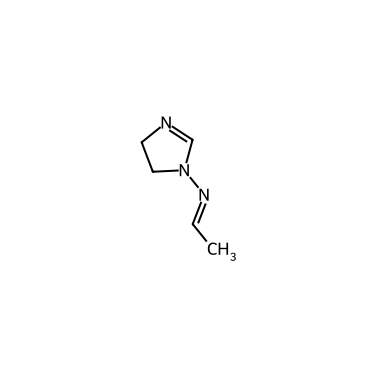 CC=NN1C=NCC1